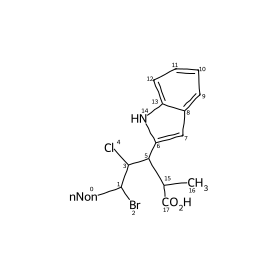 CCCCCCCCCC(Br)C(Cl)C(c1cc2ccccc2[nH]1)C(C)C(=O)O